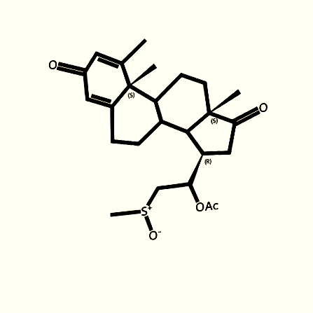 CC(=O)OC(C[S+](C)[O-])[C@@H]1CC(=O)[C@@]2(C)CCC3C(CCC4=CC(=O)C=C(C)[C@@]43C)C12